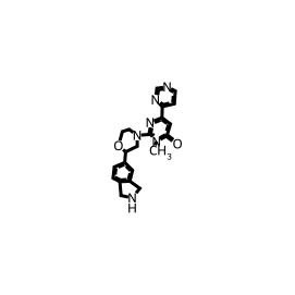 Cn1c(N2CCOC(c3ccc4c(c3)CNC4)C2)nc(-c2ccncn2)cc1=O